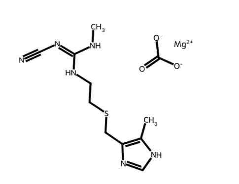 CN/C(=N/C#N)NCCSCc1nc[nH]c1C.O=C([O-])[O-].[Mg+2]